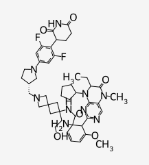 CCC1C(=O)N(C)c2cnc(C3C(OC)=CC=CC3(N)C(=O)NC3(CCO)CC4(CN(C[C@@H]5CCN(c6cc(F)c(C7CCC(=O)NC7=O)c(F)c6)C5)C4)C3)nc2N1C1CCCC1